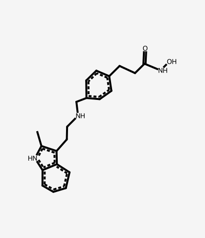 Cc1[nH]c2ccccc2c1CCNCc1ccc(CCC(=O)NO)cc1